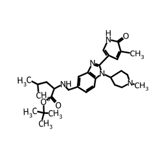 Cc1cc(-c2nc3cc(CNC(CC(C)C)C(=O)OC(C)(C)C)ccc3n2C2CCN(C)CC2)c[nH]c1=O